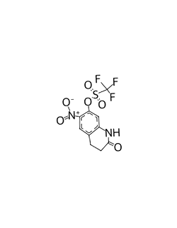 O=C1CCc2cc([N+](=O)[O-])c(OS(=O)(=O)C(F)(F)F)cc2N1